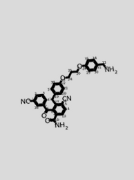 N#Cc1cccc(C(=O)c2c(C(N)=O)ccc(C#N)c2Cc2ccc(OCCCOc3ccc(CN)cc3)cc2)c1